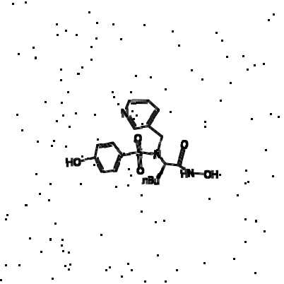 CCCC[C@H](C(=O)NO)N(Cc1cccnc1)S(=O)(=O)c1ccc(O)cc1